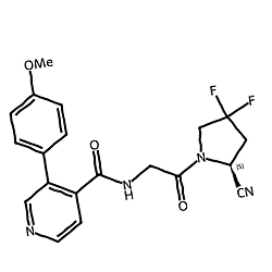 COc1ccc(-c2cnccc2C(=O)NCC(=O)N2CC(F)(F)C[C@H]2C#N)cc1